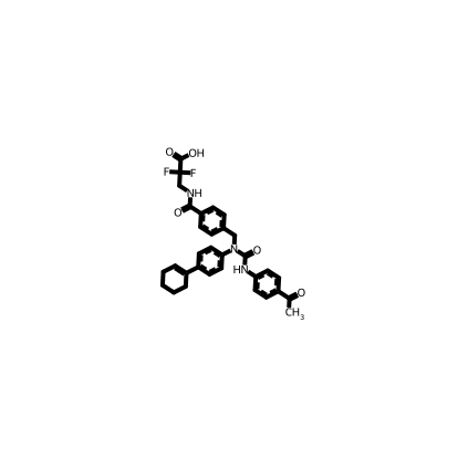 CC(=O)c1ccc(NC(=O)N(Cc2ccc(C(=O)NCC(F)(F)C(=O)O)cc2)c2ccc(C3=CCCCC3)cc2)cc1